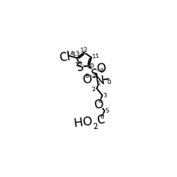 CN(CCOCC(=O)O)S(=O)(=O)c1ccc(Cl)s1